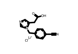 N#Cc1ccc(Cn2cncc2CC(=O)O)cc1.[Cl-].[Li+]